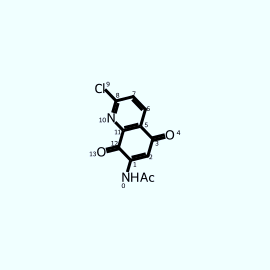 CC(=O)NC1=CC(=O)c2ccc(Cl)nc2C1=O